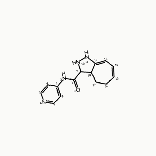 O=C(Nc1ccncc1)C1NNC2=CC=CCCC21